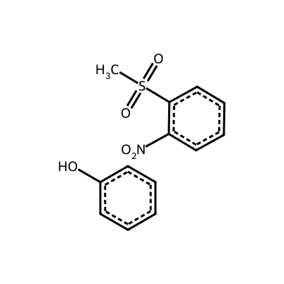 CS(=O)(=O)c1ccccc1[N+](=O)[O-].Oc1ccccc1